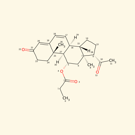 CCC(=O)O[C@H]1C[C@]2(C)[C@@H](C(C)=O)CC[C@H]2[C@@H]2C=CC3=CC(=O)CC[C@@]3(C)[C@@H]21